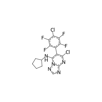 Fc1c(F)c(-c2c(Cl)nc3ncnn3c2NC2CCCC2)c(F)c(F)c1Cl